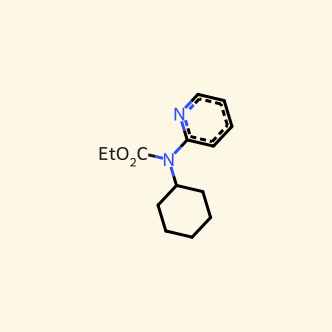 CCOC(=O)N(c1ccccn1)C1CCCCC1